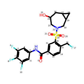 O=C(Nc1cc(F)c(F)c(F)c1)c1ccc(CF)c(S(=O)(=O)N2CC(O)CC3CC3C2)c1